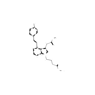 COC(=O)CCCn1cc(CC(=O)OC)c2c(C=Cc3ccc(O)cc3)cccc21